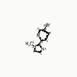 Cn1ccnc1-c1ccc(Br)cn1